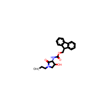 O=CCCN1CC(O)[C@H](NC(=O)OCC2c3ccccc3-c3ccccc32)C1=O